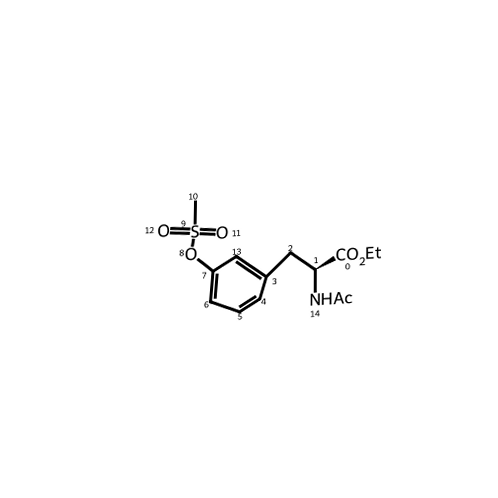 CCOC(=O)[C@H](Cc1cccc(OS(C)(=O)=O)c1)NC(C)=O